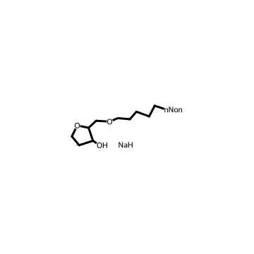 CCCCCCCCCCCCCCOCC1OC[CH]C1O.[NaH]